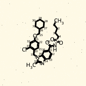 CCCCCS(=O)(=O)NC(=O)c1ccc2nc(C)n(Cc3ccc(OCC4CCCCC4)cc3Cl)c2c1